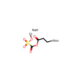 CCCCCCCCCCCC(=O)OC(=O)S(=O)(=O)OCC.[NaH]